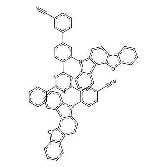 N#Cc1cccc(-c2ccc(-c3nc(-c4ccccc4)nc(-c4cc(C#N)ccc4-n4c5ccccc5c5c6oc7ccccc7c6ccc54)n3)c(-n3c4ccccc4c4c5oc6ccccc6c5ccc43)c2)c1